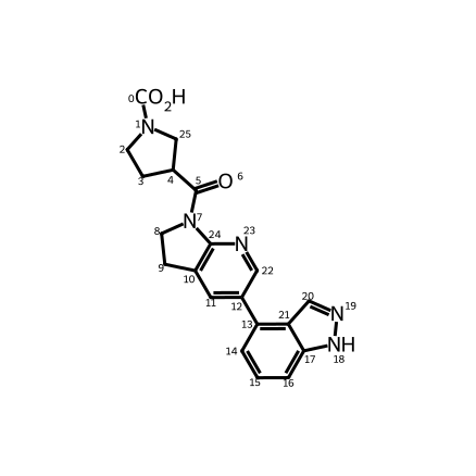 O=C(O)N1CCC(C(=O)N2CCc3cc(-c4cccc5[nH]ncc45)cnc32)C1